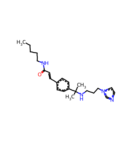 CCCCCNC(=O)C=Cc1ccc(C(C)(C)NCCCn2ccnc2)cc1